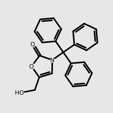 O=c1oc(CO)cn1C(c1ccccc1)(c1ccccc1)c1ccccc1